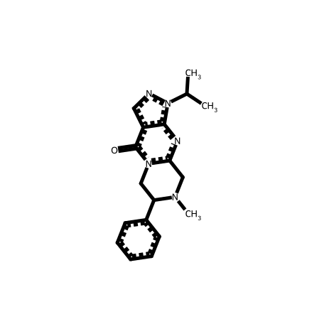 CC(C)n1ncc2c(=O)n3c(nc21)CN(C)C(c1ccccc1)C3